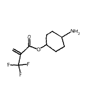 C=C(C(=O)OC1CCC(N)CC1)C(F)(F)F